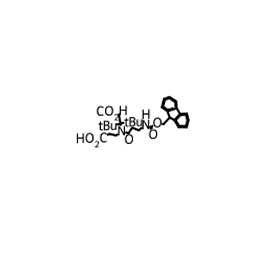 CC(C)(C)C(CC(=O)O)(N(CCC(=O)O)C(=O)CCNC(=O)OCC1c2ccccc2-c2ccccc21)C(C)(C)C